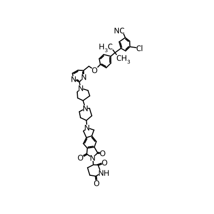 CC(C)(c1ccc(OCc2ccnc(N3CCC(N4CCC(N5Cc6cc7c(cc6C5)C(=O)N(C5CCC(=O)NC5=O)C7=O)CC4)CC3)n2)cc1)c1cc(Cl)cc(C#N)c1